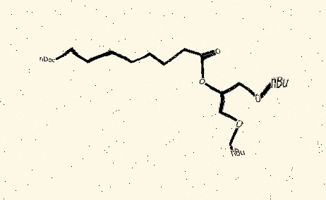 CCCCCCCCCCCCCCCCCC(=O)OC(COCCCC)COCCCC